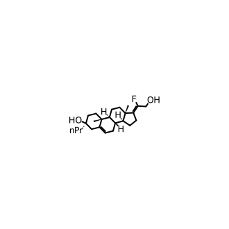 CCC[C@]1(O)CC[C@@]2(C)C(=CC[C@@H]3[C@@H]2CC[C@]2(C)C(=C(F)CO)CC[C@@H]32)C1